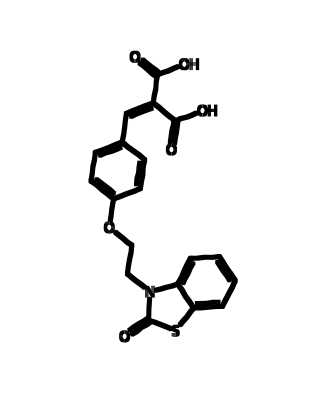 O=C(O)C(=Cc1ccc(OCCn2c(=O)sc3ccccc32)cc1)C(=O)O